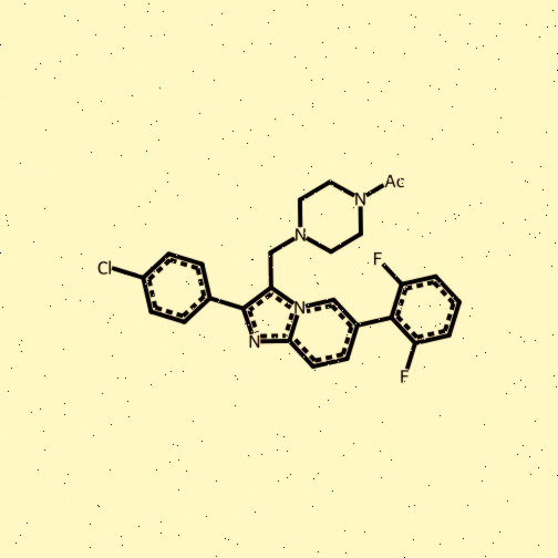 CC(=O)N1CCN(Cc2c(-c3ccc(Cl)cc3)nc3ccc(-c4c(F)cccc4F)cn23)CC1